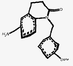 COc1cccc(CN2C(=O)CCc3cc(N)ccc32)c1